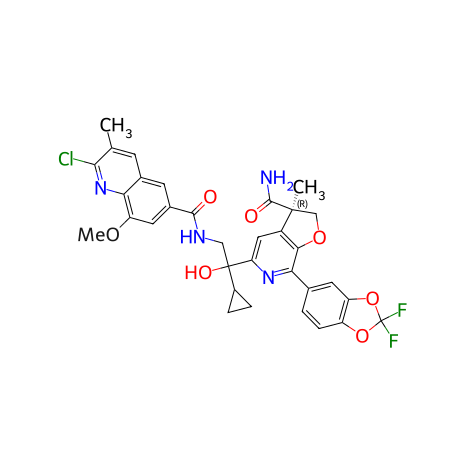 COc1cc(C(=O)NCC(O)(c2cc3c(c(-c4ccc5c(c4)OC(F)(F)O5)n2)OC[C@]3(C)C(N)=O)C2CC2)cc2cc(C)c(Cl)nc12